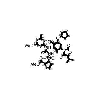 CC(C)=C1OC(=O)N(c2cc(OC3CCCC3)c(Cl)cc2F)C1=O.COC(=O)c1sccc1S(=O)(=O)NC(=O)Nc1nc(C)nc(OC)n1